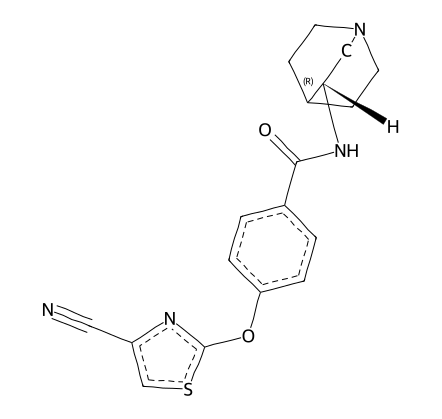 N#Cc1csc(Oc2ccc(C(=O)N[C@H]3CN4CCC3CC4)cc2)n1